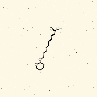 O=C(O)C=CC=CCCCCCOC1CCCCO1